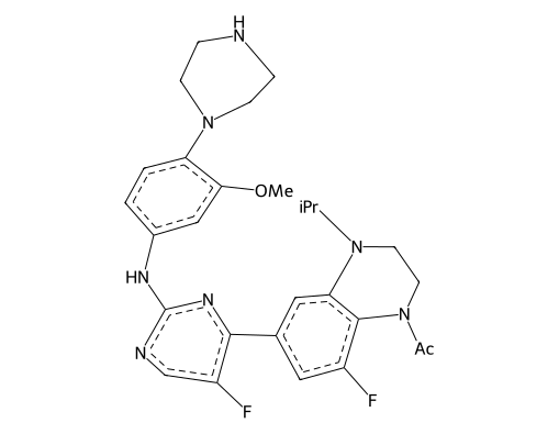 COc1cc(Nc2ncc(F)c(-c3cc(F)c4c(c3)N(C(C)C)CCN4C(C)=O)n2)ccc1N1CCNCC1